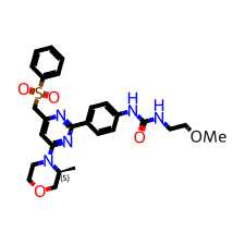 COCCNC(=O)Nc1ccc(-c2nc(CS(=O)(=O)c3ccccc3)cc(N3CCOC[C@@H]3C)n2)cc1